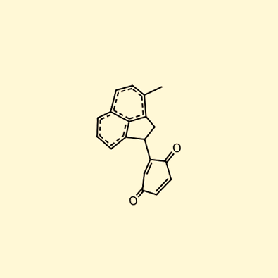 Cc1ccc2cccc3c2c1CC3C1=CC(=O)C=CC1=O